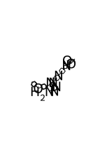 CC(C)(C)OC(=O)N1CC2(CCC(N3CCC(n4nc(-c5ccc(Oc6ccccc6)cc5)c5c(N)ncnc54)CC3)CC2)C1